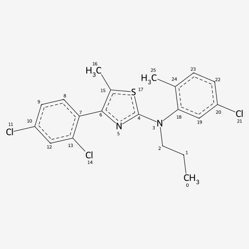 CCCN(c1nc(-c2ccc(Cl)cc2Cl)c(C)s1)c1cc(Cl)ccc1C